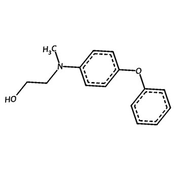 CN(CCO)c1ccc(Oc2ccccc2)cc1